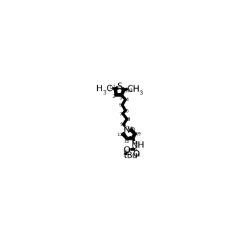 Cc1cc(CCCCCC[n+]2ccc(NC(=O)OC(C)(C)C)cc2)c(C)s1